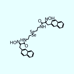 O=C(NCC[Se][Se]CCNC(=O)/C(Cc1ccc2ccccc2c1)=N/O)/C(Cc1ccc2ccccc2c1)=N/O